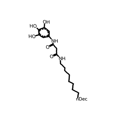 CCCCCCCCCCCCCCCCCCNC(=O)CC(=O)Nc1cc(O)c(O)c(O)c1